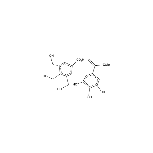 COC(=O)c1cc(O)c(O)c(O)c1.O=C(O)c1cc(CO)c(CO)c(CO)c1